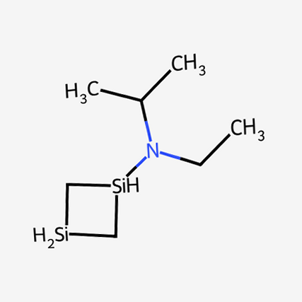 CCN(C(C)C)[SiH]1C[SiH2]C1